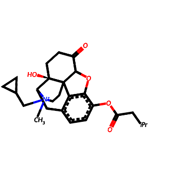 CC(C)CC(=O)Oc1ccc2c3c1OC1C(=O)CC[C@@]4(O)C(C2)[N+](C)(CC2CC2)CCC314